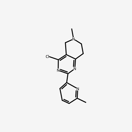 Cc1cccc(-c2nc(Cl)c3c(n2)CCN(C)C3)n1